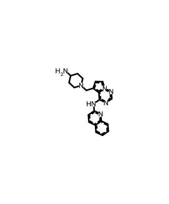 NC1CCN(Cc2ccn3ncnc(Nc4ccc5ccccc5n4)c23)CC1